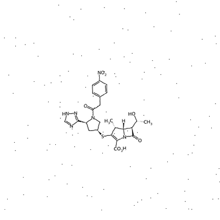 C[C@@H](O)[C@H]1C(=O)N2C(C(=O)O)=C(S[C@H]3C[C@@H](c4nc[nH]n4)N(C(=O)Cc4ccc([N+](=O)[O-])cc4)C3)[C@H](C)[C@H]12